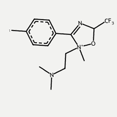 [CH]c1ccc(C2=NC(C(F)(F)F)O[N+]2(C)CCN(C)C)cc1